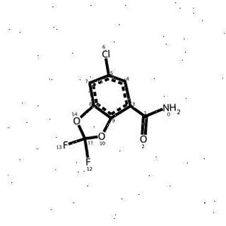 NC(=O)c1[c]c(Cl)cc2c1OC(F)(F)O2